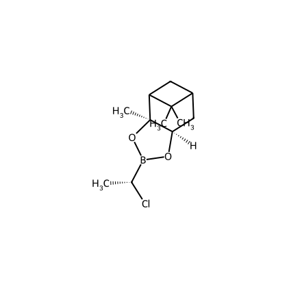 C[C@@H](Cl)B1O[C@@H]2CC3CC(C3(C)C)[C@]2(C)O1